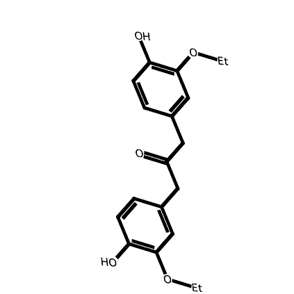 CCOc1cc(CC(=O)Cc2ccc(O)c(OCC)c2)ccc1O